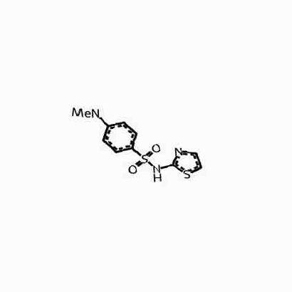 CNc1ccc(S(=O)(=O)Nc2nccs2)cc1